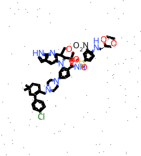 CC1(C)CCC(CN2CCN(c3ccc(C(=O)NS(=O)(=O)c4ccc(NC[C@H]5COCCO5)c([N+](=O)[O-])c4)c(N4c5cc6cc[nH]c6nc5C5COCCC54)c3)CC2)=C(c2ccc(Cl)cc2)C1